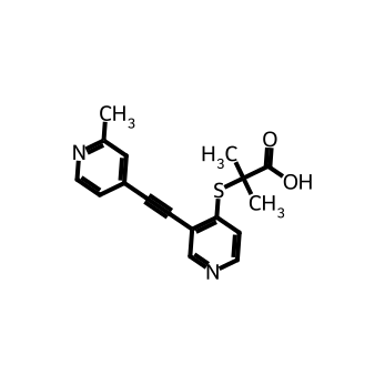 Cc1cc(C#Cc2cnccc2SC(C)(C)C(=O)O)ccn1